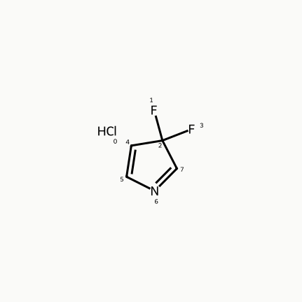 Cl.FC1(F)C=CN=C1